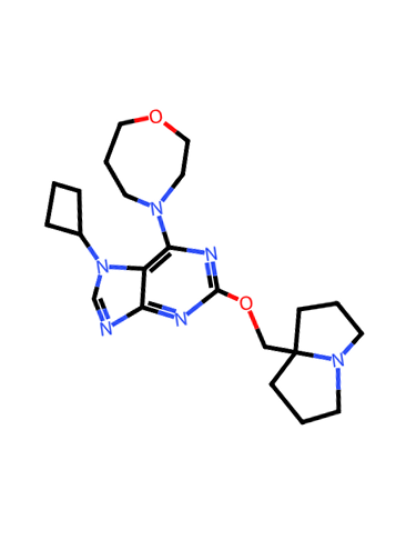 c1nc2nc(OCC34CCCN3CCC4)nc(N3CCCOCC3)c2n1C1CCC1